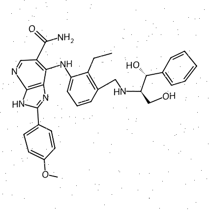 CCc1c(CN[C@H](CO)[C@H](O)c2ccccc2)cccc1Nc1c(C(N)=O)cnc2[nH]c(-c3ccc(OC)cc3)nc12